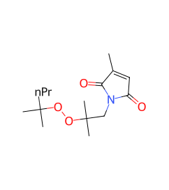 CCCC(C)(C)OOC(C)(C)CN1C(=O)C=C(C)C1=O